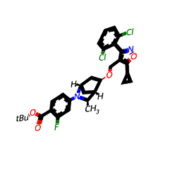 C[C@@H]1[C@@H]2C[C@@H](C[C@@H]2OCc2c(-c3c(Cl)cccc3Cl)noc2C2CC2)N1c1ccc(C(=O)OC(C)(C)C)c(F)c1